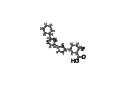 O=C(O)c1cc(-c2ccc(-c3csc(-c4ccccc4)n3)s2)ccc1F